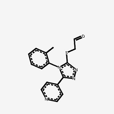 Cc1ccccc1-n1c(SCC=O)nnc1-c1ccncc1